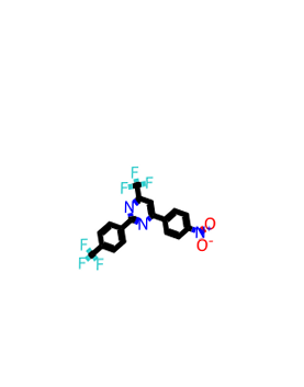 O=[N+]([O-])c1ccc(-c2cc(C(F)(F)F)nc(-c3ccc(C(F)(F)F)cc3)n2)cc1